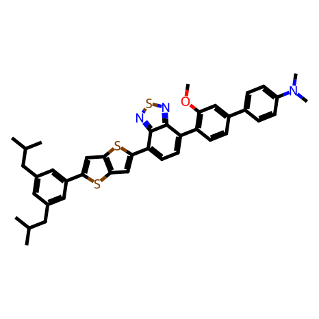 COc1cc(-c2ccc(N(C)C)cc2)ccc1-c1ccc(-c2cc3sc(-c4cc(CC(C)C)cc(CC(C)C)c4)cc3s2)c2nsnc12